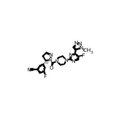 Cn1nncc1-c1nc(N2CCN(C(=O)N3N=CC[C@H]3c3cc(F)cc(C#N)c3)CC2)ncc1F